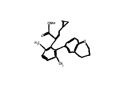 COC(=O)C(CC1CC1)c1c(C)ccc(C)c1-c1ccc2c(c1)CCCO2